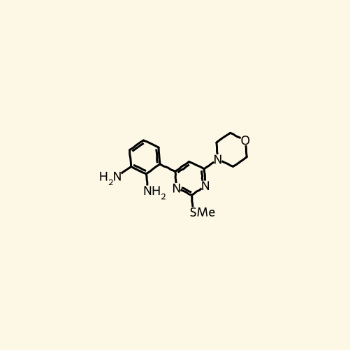 CSc1nc(-c2cccc(N)c2N)cc(N2CCOCC2)n1